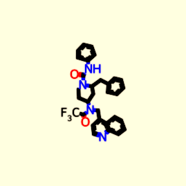 O=C(Nc1ccccc1)N1CCC(N(Cc2ccnc3ccccc23)C(=O)C(F)(F)F)CC1Cc1ccccc1